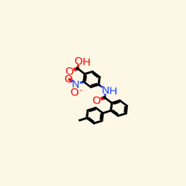 Cc1ccc(-c2ccccc2C(=O)Nc2ccc(C(=O)O)c([N+](=O)[O-])c2)cc1